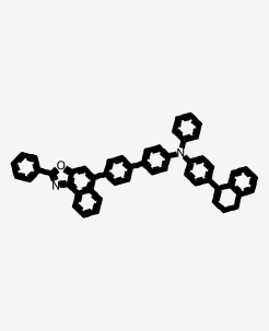 C1=C(c2ccc(N(c3ccccc3)c3ccc(-c4ccc(-c5cc6oc(-c7ccccc7)nc6c6ccccc56)cc4)cc3)cc2)c2ccccc2CC1